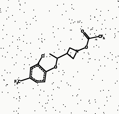 CC(Oc1ccc(C(F)(F)F)cc1Cl)C1CN(OC(=O)C(F)(F)F)C1